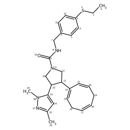 CCSc1ccc(CNC(=O)N2CC(C3=C/C/C=C\C/C=C\3)C(c3cc(C)nn3C)C2)cc1